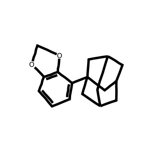 c1cc2c(c(C34CC5CC(CC(C5)C3)C4)c1)OCO2